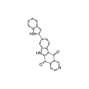 O=C1c2ccncc2C(=O)c2c1[nH]c1cc(-c3cc4ccccc4[nH]3)ccc21